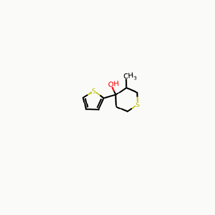 CC1CSCCC1(O)c1cccs1